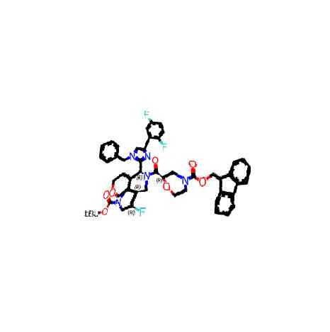 CC(C)(C)OC(=O)N1C[C@@H](CN(C(=O)[C@H]2CN(C(=O)OCC3c4ccccc4-c4ccccc43)CCO2)[C@@H](c2nc(-c3cc(F)ccc3F)cn2Cc2ccccc2)C2CCOCC2)[C@@H](F)C1